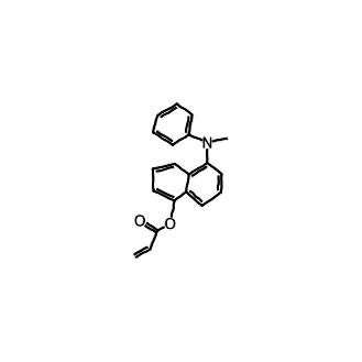 C=CC(=O)Oc1cccc2c(N(C)c3ccccc3)cccc12